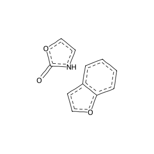 O=c1[nH]cco1.c1ccc2occc2c1